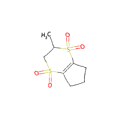 CC1CS(=O)(=O)C2=C(CCC2)S1(=O)=O